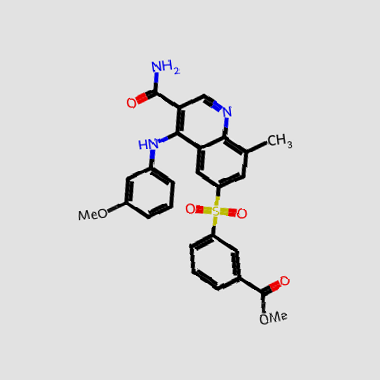 COC(=O)c1cccc(S(=O)(=O)c2cc(C)c3ncc(C(N)=O)c(Nc4cccc(OC)c4)c3c2)c1